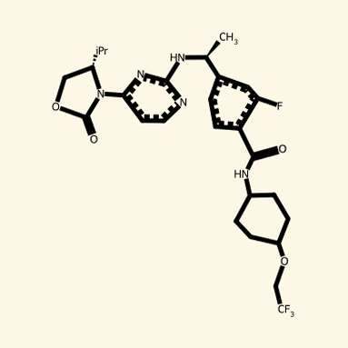 CC(C)[C@H]1COC(=O)N1c1ccnc(N[C@@H](C)c2ccc(C(=O)NC3CCC(OCC(F)(F)F)CC3)c(F)c2)n1